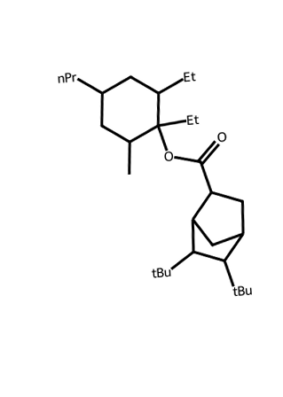 CCCC1CC(C)C(CC)(OC(=O)C2CC3CC2C(C(C)(C)C)C3C(C)(C)C)C(CC)C1